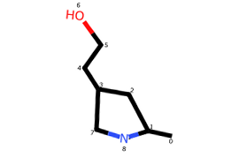 CC1CC(CCO)C[N]1